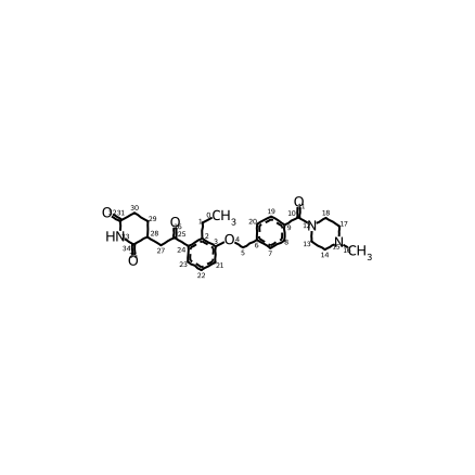 CCc1c(OCc2ccc(C(=O)N3CCN(C)CC3)cc2)cccc1C(=O)CC1CCC(=O)NC1=O